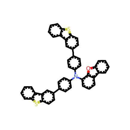 c1ccc2c(c1)oc1c(N(c3ccc(-c4ccc5sc6ccccc6c5c4)cc3)c3ccc(-c4ccc5sc6ccccc6c5c4)cc3)cccc12